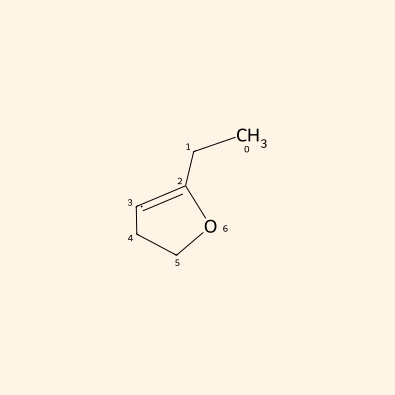 CCC1=[C]CCO1